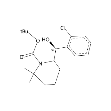 CC(C)(C)OC(=O)N1C([C@@H](O)c2ccccc2Cl)CCCC1(C)C